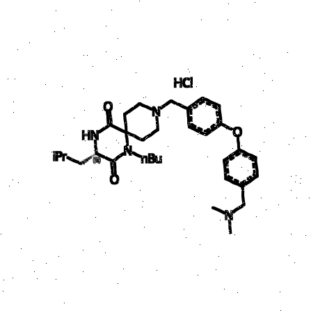 CCCCN1C(=O)[C@H](CC(C)C)NC(=O)C12CCN(Cc1ccc(Oc3ccc(CN(C)C)cc3)cc1)CC2.Cl